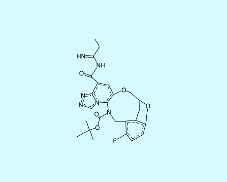 CCC(=N)NC(=O)c1cc2c(n3cnnc13)N(C(=O)OC(C)(C)C)Cc1c(F)ccc3c1CC(CO2)O3